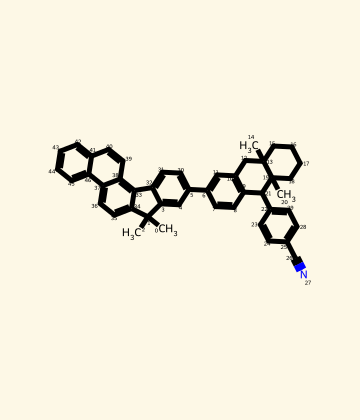 CC1(C)c2cc(-c3ccc4c(c3)CC3(C)CCCCC3(C)C4c3ccc(C#N)cc3)ccc2-c2c1ccc1c2ccc2ccccc21